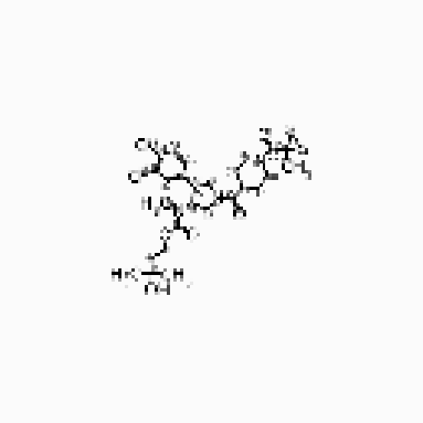 CN(C(=O)OCCC(C)(C)O)[C@H]1CN(C(=O)C2CCN(C(=O)C3(C)CC3)CC2)C[C@@H]1c1ccc(Cl)c(Cl)c1